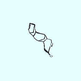 O=C1CC2C(CO1)C1CC2C2C3C=CC(C3)C12